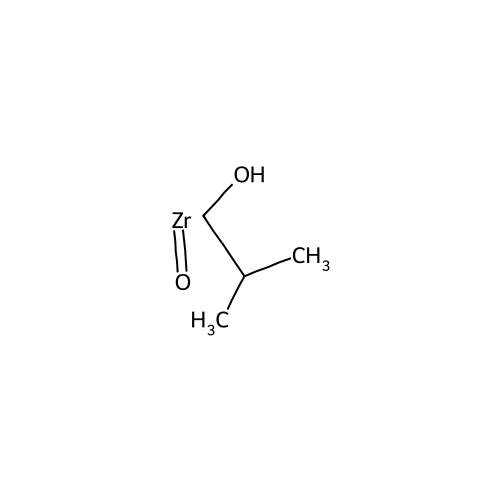 CC(C)CO.[O]=[Zr]